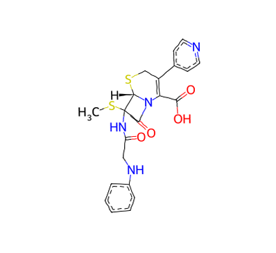 CSC1(NC(=O)CNc2ccccc2)C(=O)N2C(C(=O)O)=C(c3ccncc3)CS[C@H]21